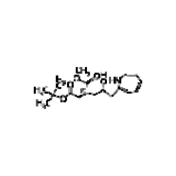 COC(=O)[C@H](CC(=O)OC(C)(C)C)CC(O)CC1=CC=CC=CN1